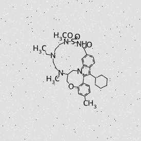 CCN1CCN(C)C2COc3cc(C)ccc3-c3c(C4CCCCC4)c4ccc(cc4n3C2)C(=O)NS(=O)(=O)N(C)CC1